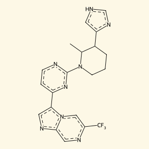 CC1C(c2c[nH]cn2)CCCN1c1nccc(-c2cnc3cnc(C(F)(F)F)cn23)n1